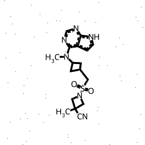 CN(c1ncnc2[nH]ccc12)C1CC(CS(=O)(=O)N2CC(C)(C#N)C2)C1